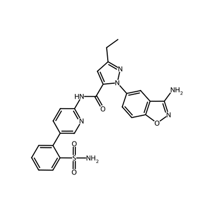 CCc1cc(C(=O)Nc2ccc(-c3ccccc3S(N)(=O)=O)cn2)n(-c2ccc3onc(N)c3c2)n1